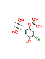 CC(C)(O)C(C)(C)O.COc1ccc(OB(O)O)cc1Br